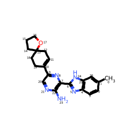 Cc1ccc2nc(-c3nc(C4=CCC5(CCCO5)CC4)cnc3N)[nH]c2c1